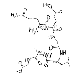 CC(C)C[C@H](NC(=O)CNC(=O)[C@H](CCC(=O)O)NC(=O)[C@@H](N)CCC(N)=O)C(=O)N[C@@H](C)C(=O)NCC(=O)O